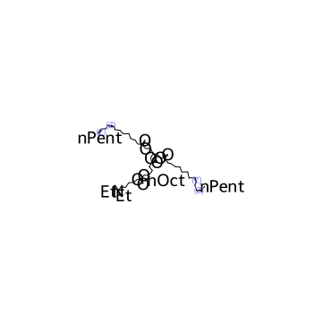 CCCCC/C=C\C/C=C\CCCCCCCC(=O)OCC(COC(=O)CCCCCCC/C=C\C/C=C\CCCCC)OC(=O)CCC(CCCCCCCC)OC(=O)OCCCCN(CC)CC